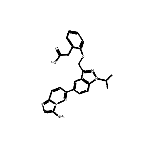 CC(C)n1nc(COc2ccccc2CC(=O)O)c2cc(-c3ccc4ncc(N)n4n3)ccc21